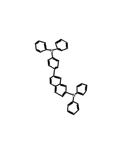 c1ccc(N(c2ccccc2)c2ccc(-c3ccc4ccc(N(c5ccccc5)c5ccccc5)cc4c3)cc2)cc1